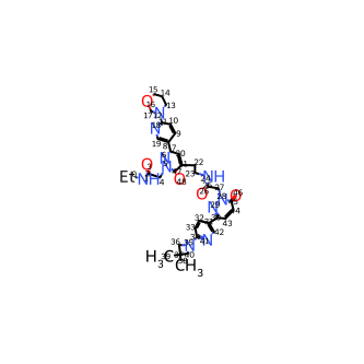 CCNC(=O)Cn1nc(-c2ccc(N3CCCOC3)nc2)cc(CCNC(=O)Cn2nc(-c3ccc(N4CC(C)(C)C4)nc3)ccc2=O)c1=O